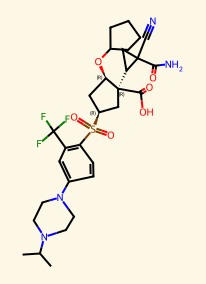 CC(C)N1CCN(c2ccc(S(=O)(=O)[C@H]3C[C@@H](OC4CCCC4)[C@](C(=O)O)(C4CC4(C#N)C(N)=O)C3)c(C(F)(F)F)c2)CC1